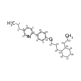 CCCc1ccc(-c2ccc(OCCCC3CCCCC3CCC)cc2)nc1